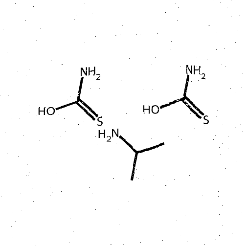 CC(C)N.NC(O)=S.NC(O)=S